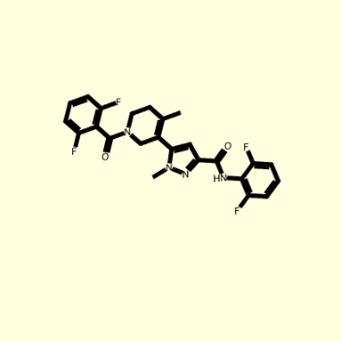 CC1=C(c2cc(C(=O)Nc3c(F)cccc3F)nn2C)CN(C(=O)c2c(F)cccc2F)CC1